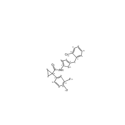 O=C(Nc1ncc(Cc2ccccc2Cl)s1)C1(c2ccc(F)c(F)c2)CC1